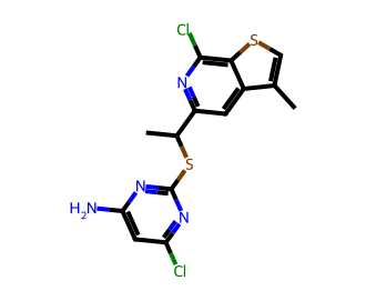 Cc1csc2c(Cl)nc(C(C)Sc3nc(N)cc(Cl)n3)cc12